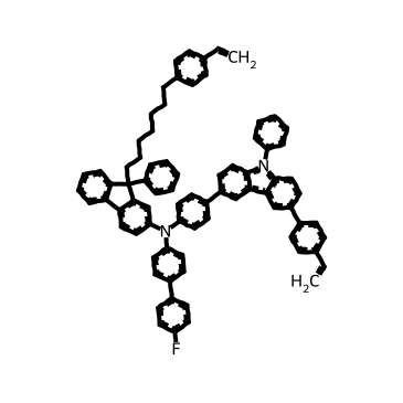 C=Cc1ccc(CCCCCCCC2(c3ccccc3)c3ccccc3-c3ccc(N(c4ccc(-c5ccc(F)cc5)cc4)c4ccc(-c5ccc6c(c5)c5cc(-c7ccc(C=C)cc7)ccc5n6-c5ccccc5)cc4)cc32)cc1